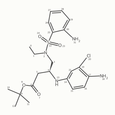 CCN(C[C@H](CC(=O)OC(C)(C)C)Nc1ccc(N)c(Cl)c1)S(=O)(=O)c1ccccc1N